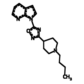 CCCCN1CCC(c2noc(-n3ccc4cccnc43)n2)CC1